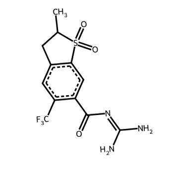 CC1Cc2cc(C(F)(F)F)c(C(=O)N=C(N)N)cc2S1(=O)=O